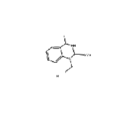 CSC1NC(C)c2ccccc2N1CI.I